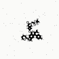 CC(C)c1nc(OC2CC3(CC(=O)N(CC(=O)OC(C)(C)C)C3)C2)c2cc3c(cnn3C3CCCCO3)cc2c1-c1ccc(F)cc1